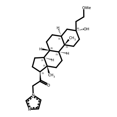 COCC[C@@]1(O)CC[C@@]2(C)[C@@H](CC[C@@H]3[C@@H]2CC[C@]2(C)[C@@H](C(=O)Cn4ccnc4)CC[C@@H]32)C1